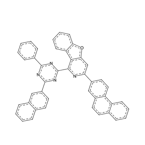 c1ccc(-c2nc(-c3ccc4ccccc4c3)nc(-c3nc(-c4ccc5c(ccc6ccccc65)c4)cc4oc5ccccc5c34)n2)cc1